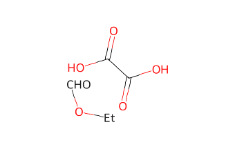 CCOC=O.O=C(O)C(=O)O